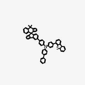 CC1(C)c2ccccc2C2(c3ccccc3-c3cc(-c4ccc(N(c5ccc(-c6ccccc6)cc5)c5ccc(-c6cccc7c6SC6C=CC=CC76)cc5)cc4)ccc32)c2ccccc21